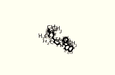 C=C(/C=C(C)/N=C(\C)C1C=Cc2ccccc2C1(C)c1ccccc1)/C(CC)=C(/C=C(/C)C(C)C)SC(C)/C=C/C